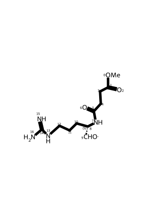 COC(=O)CCC(=O)N[C@H]([C]=O)CCCNC(=N)N